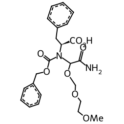 COCCOCOC(C(N)=O)N(C(=O)OCc1ccccc1)[C@@H](Cc1ccccc1)C(=O)O